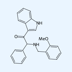 COc1ccccc1CNC(C(=O)c1c[nH]c2ccccc12)c1ccccc1